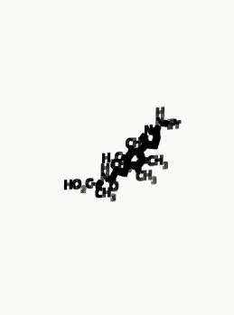 C/C(=C\c1c(C)c(C)c(-c2ccc(NC(C)C)nc2)c(C)c1C)C(=O)N[C@H](C)C(=O)O